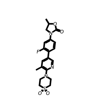 Cc1cc(-c2ccc(N3CC(C)OC3=O)cc2F)cnc1N1CCS(=O)(=O)CC1